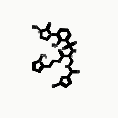 Cc1c(N2CC[C@H](O)C2=O)cccc1S(=O)(=O)N[C@@H](CNC(=O)c1ccc(Cl)s1)C(=O)OCCc1nccn1C